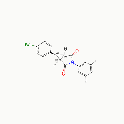 Cc1cc(C)cc(N2C(=O)[C@@H]3[C@H](c4ccc(Br)cc4)[C@]3(C)C2=O)c1